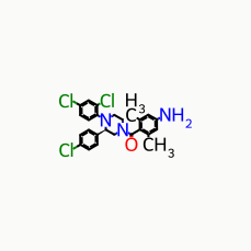 Cc1cc(N)cc(C)c1C(=O)N1CCN(c2ccc(Cl)cc2Cl)[C@H](c2ccc(Cl)cc2)C1